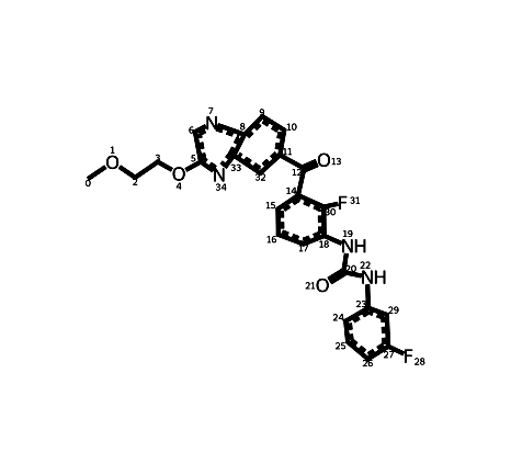 COCCOc1cnc2ccc(C(=O)c3cccc(NC(=O)Nc4cccc(F)c4)c3F)cc2n1